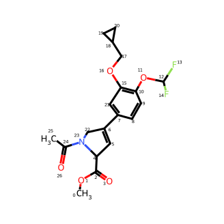 COC(=O)C1C=C(c2ccc(OC(F)F)c(OCC3CC3)c2)CN1C(C)=O